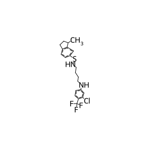 CC1CCc2ccc(SNCCCCNc3ccc(C(F)(F)F)c(Cl)c3)cc21